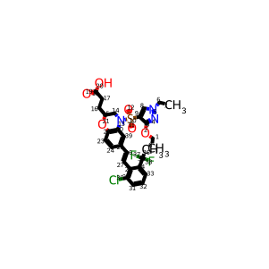 CCOc1nn(CC)cc1S(=O)(=O)N1CC(CCC(=O)O)Oc2ccc(C=Cc3c(Cl)cccc3C(C)(F)F)cc21